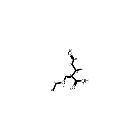 CCOC=C(C(=O)O)C(C)CC=O